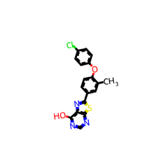 Cc1cc(-c2nc3c(O)ncnc3s2)ccc1Oc1ccc(Cl)cc1